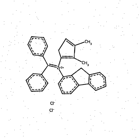 CC1=CC[C]([Zr+2](=[C](c2ccccc2)c2ccccc2)[c]2cccc3c2Cc2ccccc2-3)=C1C.[Cl-].[Cl-]